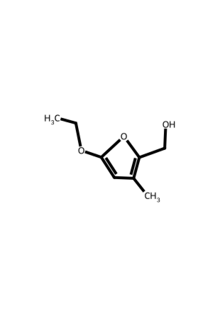 CCOc1cc(C)c(CO)o1